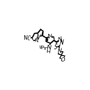 CC(C)Nc1cc(-c2ccc3cc(C#N)cnn23)ncc1-c1nnc(N2CC3(COC3)C2)s1